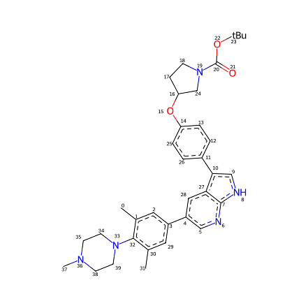 Cc1cc(-c2cnc3[nH]cc(-c4ccc(OC5CCN(C(=O)OC(C)(C)C)C5)cc4)c3c2)cc(C)c1N1CCN(C)CC1